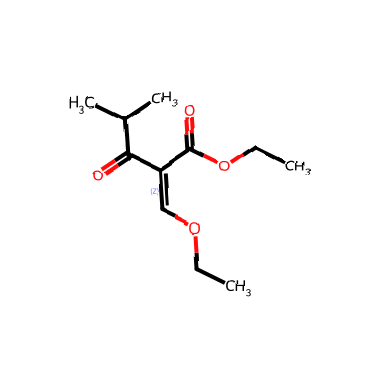 CCO/C=C(\C(=O)OCC)C(=O)C(C)C